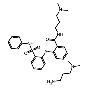 CN(C)CCCN.CN(C)CCCNC(=O)c1ccccc1Sc1ccccc1S(=O)(=O)Nc1ccccc1